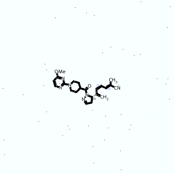 C=C(/C=C\C=C(/C)C#N)[C@@H]1CC=NN1C(=O)C1CCN(c2nccc(OC)n2)CC1